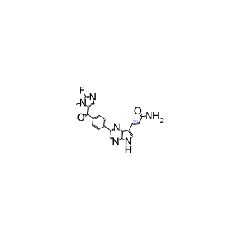 Cn1c(C(=O)c2ccc(-c3cnc4[nH]cc(/C=C/C(N)=O)c4n3)cc2)cnc1F